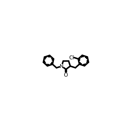 O=C1C(Cc2ccccc2Cl)CCN1Cc1ccccc1